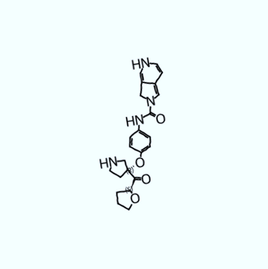 O=C(Nc1ccc(O[C@]2(C(=O)[C@@H]3CCCO3)CCNC2)cc1)N1C=C2C=CNC=C2C1